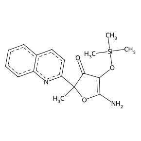 CC1(c2ccc3ccccc3n2)OC(N)=C(O[Si](C)(C)C)C1=O